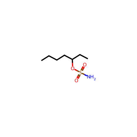 CCCCC(CC)OS(N)(=O)=O